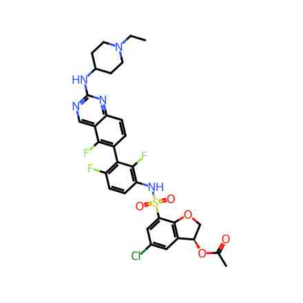 CCN1CCC(Nc2ncc3c(F)c(-c4c(F)ccc(NS(=O)(=O)c5cc(Cl)cc6c5OC[C@H]6OC(C)=O)c4F)ccc3n2)CC1